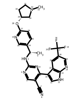 C[C@H](Nc1ncc(C#N)c(-c2c[nH]c3ncc(C(F)(F)F)cc23)n1)c1ccc(O[C@@H]2CCN(C)C2)nc1